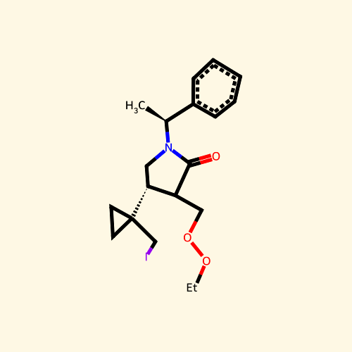 CCOOCC1C(=O)N([C@@H](C)c2ccccc2)C[C@H]1C1(CI)CC1